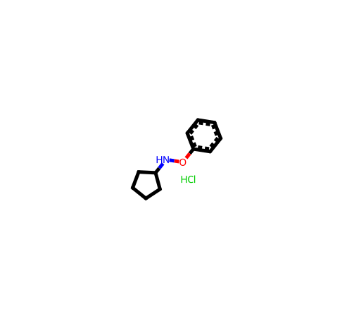 Cl.c1ccc(ONC2CCCC2)cc1